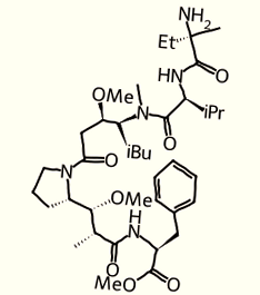 CC[C@H](C)[C@@H]([C@@H](CC(=O)N1CCC[C@H]1[C@H](OC)[C@@H](C)C(=O)N[C@@H](Cc1ccccc1)C(=O)OC)OC)N(C)C(=O)[C@@H](NC(=O)[C@](C)(N)CC)C(C)C